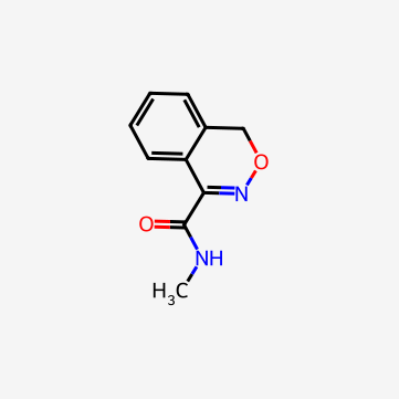 CNC(=O)C1=NOCc2ccccc21